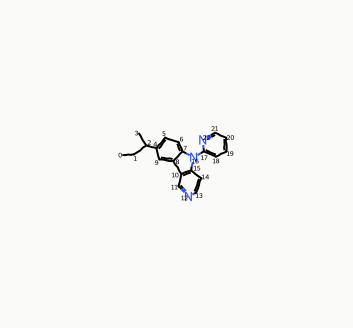 CCC(C)c1ccc2c(c1)c1cnccc1n2-c1ccccn1